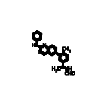 Cc1ccc(C(C)NC=O)cc1-c1ccc2nc(Nc3ccccc3)ncc2c1